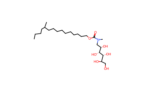 CCCCC(C)CCCCCCCCCCOC(=O)N(C)C[C@H](O)[C@@H](O)[C@H](O)[C@H](O)CO